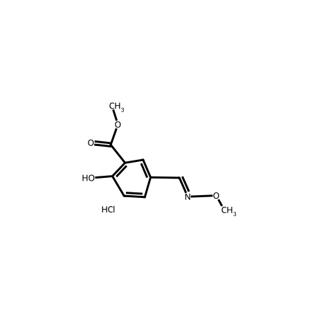 CON=Cc1ccc(O)c(C(=O)OC)c1.Cl